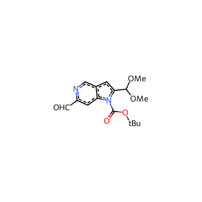 COC(OC)c1cc2cnc(C=O)cc2n1C(=O)OC(C)(C)C